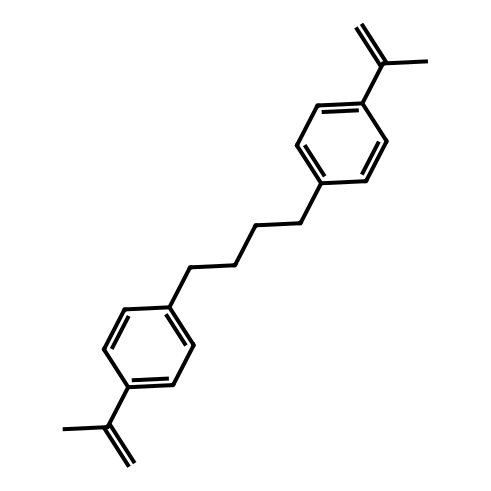 C=C(C)c1ccc(CCCCc2ccc(C(=C)C)cc2)cc1